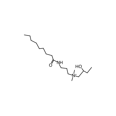 CCCCCCCCC(=O)NCCC[N+](C)(C)CC(O)CC